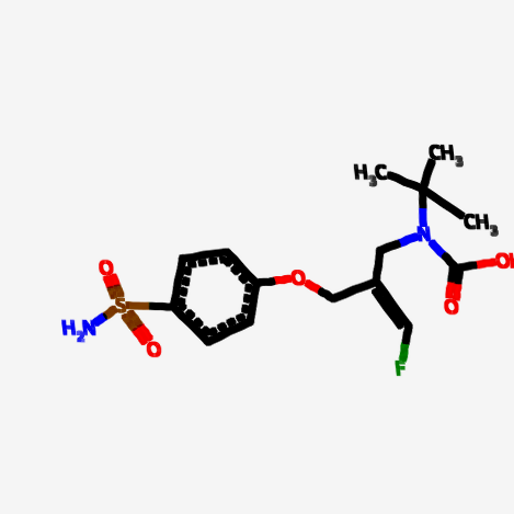 CC(C)(C)N(C/C(=C/F)COc1ccc(S(N)(=O)=O)cc1)C(=O)O